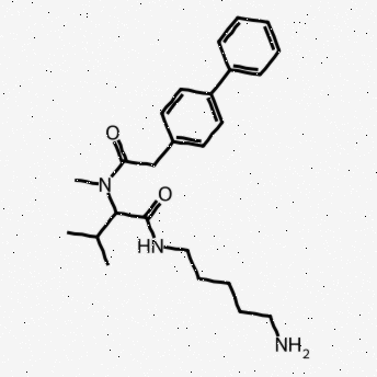 CC(C)C(C(=O)NCCCCCN)N(C)C(=O)Cc1ccc(-c2ccccc2)cc1